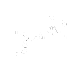 CC[C@@]1(O)C(=O)OCc2c1cc1n(c2=O)Cc2cc3c(C[N+](C)(C)Cc4ccc(NC(=O)CCCNC(=O)[C@@H](NC(=O)CCCN5C(=O)C=CC5=O)[C@H](NC(=O)CCCN5C(=O)C=CC5=O)C(=O)NCCCOC)cc4)c(OC(=O)NCC(=O)O)ccc3nc2-1